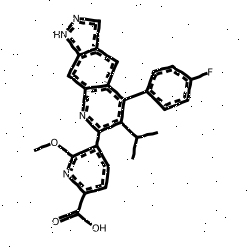 COc1nc(C(=O)O)ccc1-c1nc2cc3[nH]ncc3cc2c(-c2ccc(F)cc2)c1C(C)C